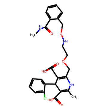 CNC(=O)c1ccccc1CONCCOCC1=C(C(=O)O)C(c2ccccc2Cl)C(C(=O)O)=C(C)N1